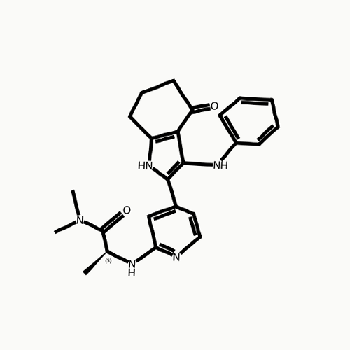 C[C@H](Nc1cc(-c2[nH]c3c(c2Nc2ccccc2)C(=O)CCC3)ccn1)C(=O)N(C)C